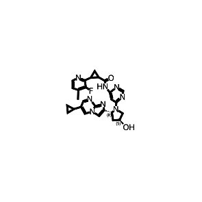 Cc1ccnc(C2CC2C(=O)Nc2cc(N3C[C@@H](O)C[C@@H]3c3cn4cc(C5CC5)cnc4n3)ncn2)c1F